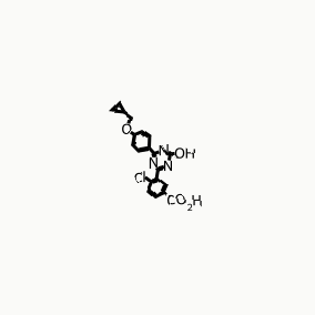 O=C(O)c1ccc(Cl)c(-c2nc(O)nc(-c3ccc(OCC4CC4)cc3)n2)c1